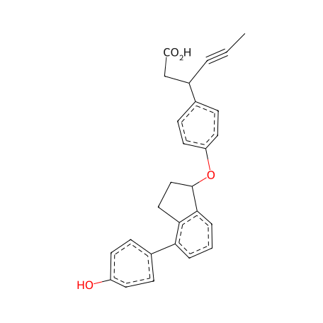 CC#CC(CC(=O)O)c1ccc(OC2CCc3c(-c4ccc(O)cc4)cccc32)cc1